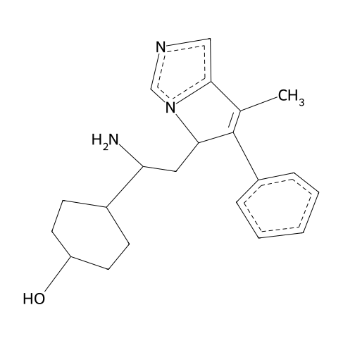 CC1=C(c2ccccc2)C(CC(N)C2CCC(O)CC2)n2cncc21